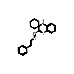 c1ccc(CCN=NC2=Nc3ccccc3NC23CCCCC3)cc1